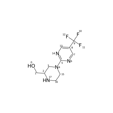 OCC1CN(c2ncc(C(F)(F)F)cn2)CCN1